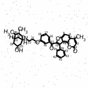 Cc1cc(=O)oc2c1ccc1oc(C(=O)c3cccc(OCCN[C@@]45C[C@@H](O)C[C@@H](C4)C(C)[C@H](C)C5)c3)c(-c3ccccc3)c12